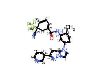 Cc1ccc(-n2ccn3nc(-c4cccnc4)cc23)cc1NC(=O)C1=CC=CC(C#N)(S(F)(F)(F)(F)F)C1